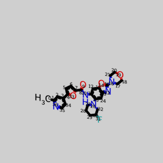 Cc1cc(-c2ccc(C(=O)Nc3cc4oc(N5CCOCC5)nc4cc3N3CCCC(F)C3)o2)ccn1